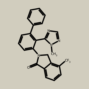 Cn1ncnc1-c1c(-c2ccccc2)cccc1N1Cc2c(cccc2C(F)(F)F)C1=O